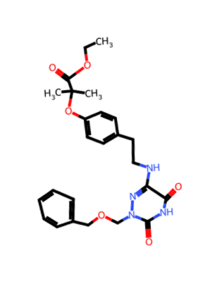 CCOC(=O)C(C)(C)Oc1ccc(CCNc2nn(COCc3ccccc3)c(=O)[nH]c2=O)cc1